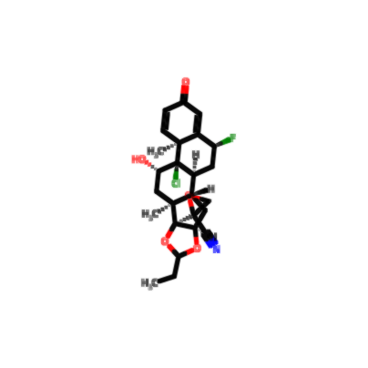 CCC1O[C@@H]2C[C@H]3[C@@H]4C[C@H](F)C5=CC(=O)C=C[C@]5(C)[C@@]4(Cl)[C@@H](O)C[C@]3(C)[C@]2(C2(C#N)CO2)O1